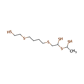 CC(S)SC(S)CSCCCCSCCS